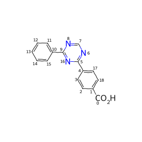 O=C(O)c1ccc(-c2ncnc(-c3ccccc3)n2)cc1